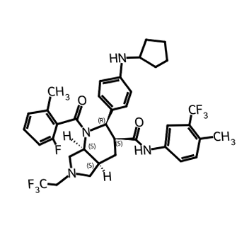 Cc1ccc(NC(=O)[C@H]2C[C@H]3CN(CC(F)(F)F)C[C@H]3N(C(=O)c3c(C)cccc3F)[C@H]2c2ccc(NC3CCCC3)cc2)cc1C(F)(F)F